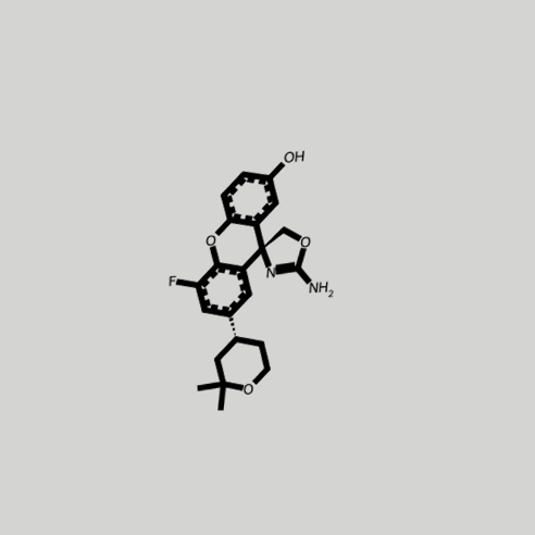 CC1(C)C[C@H](c2cc(F)c3c(c2)[C@]2(COC(N)=N2)c2cc(O)ccc2O3)CCO1